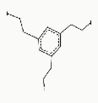 ICCc1cc(CCI)cc(CCI)c1